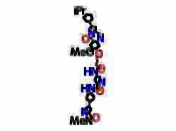 CNC(=O)c1cc(-c2ccc(NC(=O)c3cc(NC(=O)CCCOc4cc5c(cc4OC)C(=O)N4C=C(c6ccc(C(C)C)cc6)CC4C=N5)cn3C)cc2)cn1C